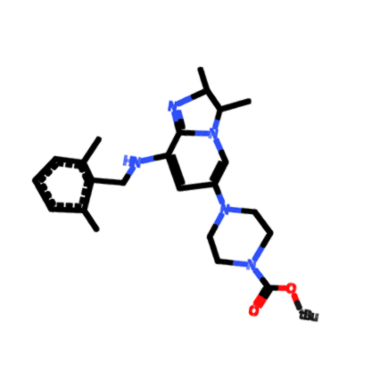 Cc1cccc(C)c1CNC1=CC(N2CCN(C(=O)OC(C)(C)C)CC2)=CN2C1=NC(C)C2C